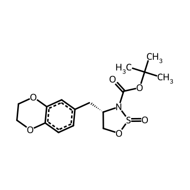 CC(C)(C)OC(=O)N1[C@@H](Cc2ccc3c(c2)OCCO3)COS1=O